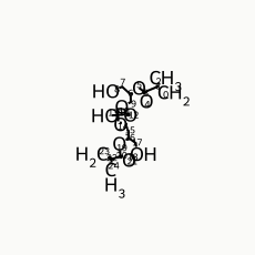 C=C(C)C(=O)OC(CO)COP(=O)(O)OCC(CO)OC(=O)C(=C)C